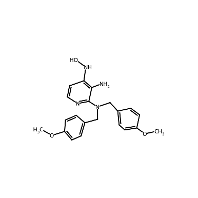 COc1ccc(CN(Cc2ccc(OC)cc2)c2nccc(NO)c2N)cc1